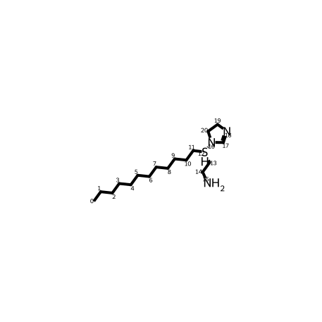 CCCCCCCCCCCC[SH](CCN)N1C=NCC1